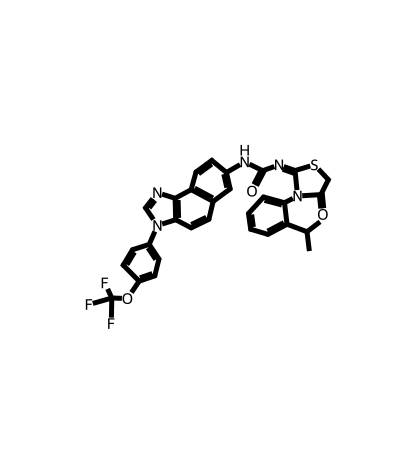 CC(C)c1ccccc1N1C(=O)CS/C1=N/C(=O)Nc1ccc2c(ccc3c2ncn3-c2ccc(OC(F)(F)F)cc2)c1